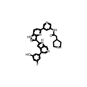 O=C(CC1CCNCC1)Nc1cncc(-c2ccc3[nH]nc(-c4cc5c(-c6cc(O)cc(F)c6)cncc5[nH]4)c3n2)c1